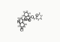 O=C(OCC1CCCCO1)c1ccccc1Nc1ccnc2cc(Cl)ccc12